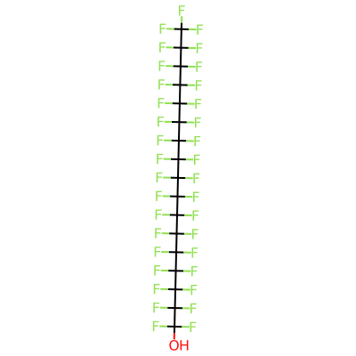 OC(F)(F)C(F)(F)C(F)(F)C(F)(F)C(F)(F)C(F)(F)C(F)(F)C(F)(F)C(F)(F)C(F)(F)C(F)(F)C(F)(F)C(F)(F)C(F)(F)C(F)(F)C(F)(F)C(F)(F)F